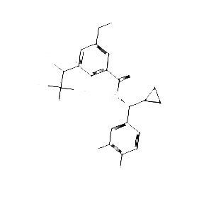 Cc1cc([C@@H](NC(=O)c2cc(CBr)cc(C(C)C(F)(F)F)c2)C2CC2)ccc1F